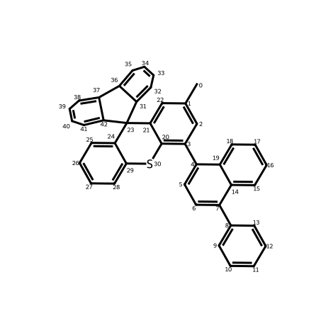 Cc1cc(-c2ccc(-c3ccccc3)c3ccccc23)c2c(c1)C1(c3ccccc3S2)c2ccccc2-c2ccccc21